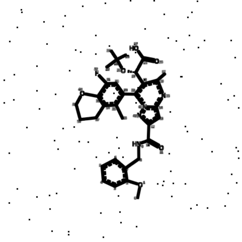 COc1ccccc1CNC(=O)c1cc2nc(C)c([C@H](OC(C)(C)C)C(=O)O)c(-c3cc(F)c4c(c3C)CCCO4)n2n1